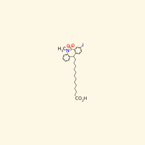 CN1c2ccccc2C(CCCCCCCCCCCCC(=O)O)c2ccc(I)cc2S1(=O)=O